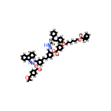 CC1(C)OC1c1ccc(C(=O)Oc2ccc(CCc3ccc(OC(=O)c4ccc(OCCCCCCOC(=O)C5(C)CC6C=CC5C6)cc4)c(/C=N/Nc4nc(-c5ccccc5)c(-c5ccccc5)s4)c3)cc2/C=N/N=C2c3ccccc3-c3ccccc32)cc1